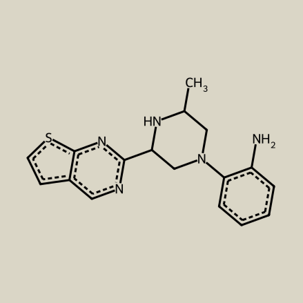 CC1CN(c2ccccc2N)CC(c2ncc3ccsc3n2)N1